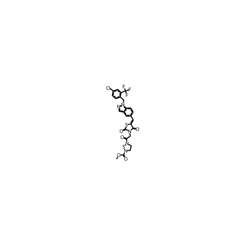 COC(=O)N1CCN(C(=O)CN2C(=O)SC(=Cc3ccc4c(cnn4Cc4ccc(Cl)cc4C(F)(F)F)c3)C2=O)S1